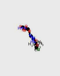 CC1(C)C(NC(=O)c2cnc(N3CCN(CCCOc4ccc5c(c4)C(=O)N(C4CCC(=O)NC4=O)C5=O)CC3)cn2)C(C)(C)C1Oc1ccc(C#N)c(Cl)c1